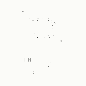 Cl.Fc1cncc(C2CCON2)c1